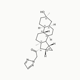 C[C@@]1(O)CC[C@H]2[C@H](CC[C@H]3C4[C@@H]5C[C@@H]5[C@H](C(=O)Cn5nccn5)[C@@]4(C)CC[C@H]23)C1